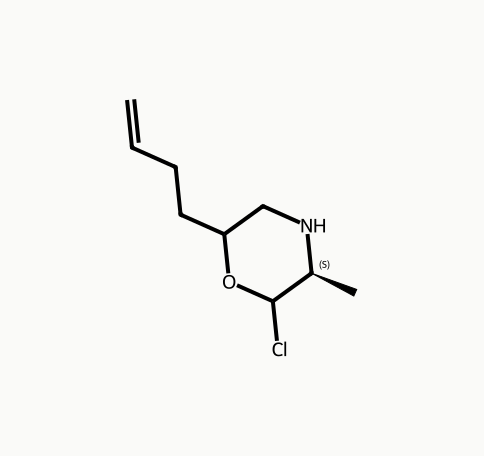 C=CCCC1CN[C@@H](C)C(Cl)O1